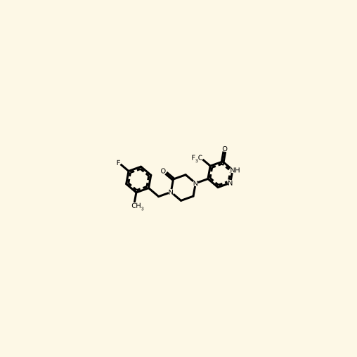 Cc1cc(F)ccc1CN1CCN(c2cn[nH]c(=O)c2C(F)(F)F)CC1=O